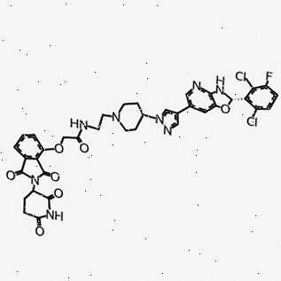 O=C(COc1cccc2c1C(=O)N(C1CCC(=O)NC1=O)C2=O)NCCN1CCC(n2cc(-c3cnc4c(c3)O[C@@H](c3c(Cl)ccc(F)c3Cl)N4)cn2)CC1